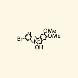 COc1cc2cc(O)[n+](Cc3cncc(Br)c3)c(C)c2cc1OC